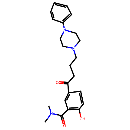 CN(C)C(=O)c1cc(C(=O)CCCN2CCN(c3ccccc3)CC2)ccc1O